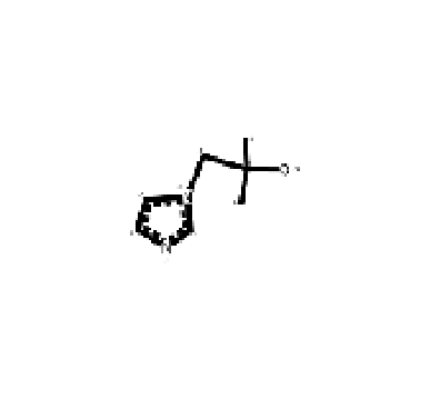 CC(C)([O])Cn1ccnc1